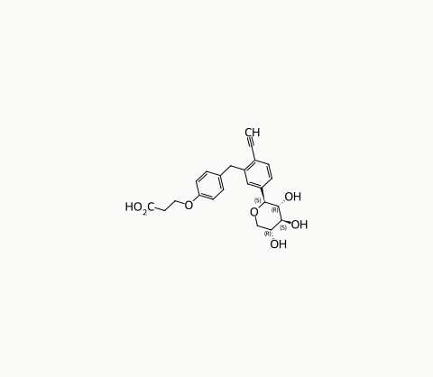 C#Cc1ccc([C@@H]2OC[C@@H](O)[C@H](O)[C@H]2O)cc1Cc1ccc(OCCC(=O)O)cc1